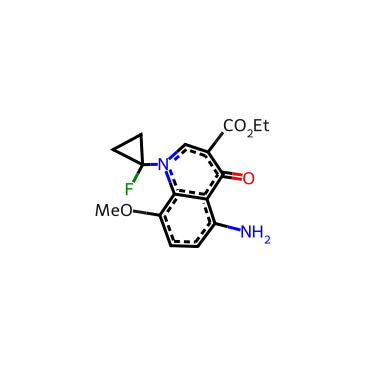 CCOC(=O)c1cn(C2(F)CC2)c2c(OC)ccc(N)c2c1=O